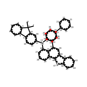 CC1(C)c2ccccc2-c2ccc(N(c3ccc(-c4ccccc4)cc3)c3cccc4c3c(-c3ccccc3)cc3c5ccccc5sc43)cc21